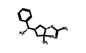 C[C@H](c1ccccc1)N1C[C@H](OC(N)=O)C(C)(C)C1